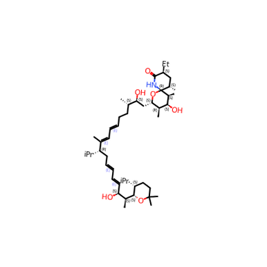 CC[C@H]1C[C@H](C)[C@@]2(NC1=O)O[C@@H](C[C@H](O)[C@@H](C)CC/C=C/C=C(\C)[C@H](C/C=C/C=C/[C@H](O)[C@H](C)[C@H]1OC(C)(C)CC[C@H]1C(C)C)C(C)C)[C@H](C)[C@H](O)[C@@H]2C